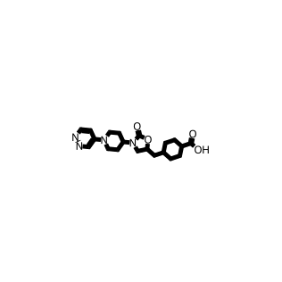 O=C(O)C1CCC(CC2CN(C3CCN(c4ccnnc4)CC3)C(=O)O2)CC1